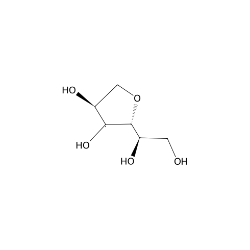 OC[C@@H](O)[C@H]1OC[C@H](O)[C]1O